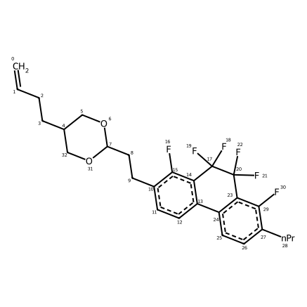 C=CCCC1COC(CCc2ccc3c(c2F)C(F)(F)C(F)(F)c2c-3ccc(CCC)c2F)OC1